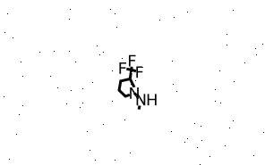 CNN1CCCC(C(F)(F)F)C1